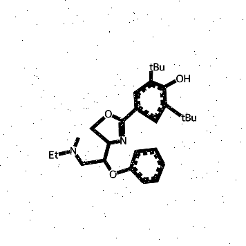 CCN(C)CC(Oc1ccccc1)C1COC(c2cc(C(C)(C)C)c(O)c(C(C)(C)C)c2)=N1